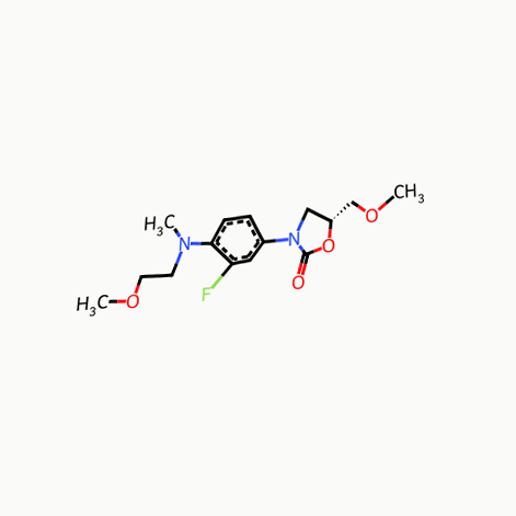 COCCN(C)c1ccc(N2C[C@H](COC)OC2=O)cc1F